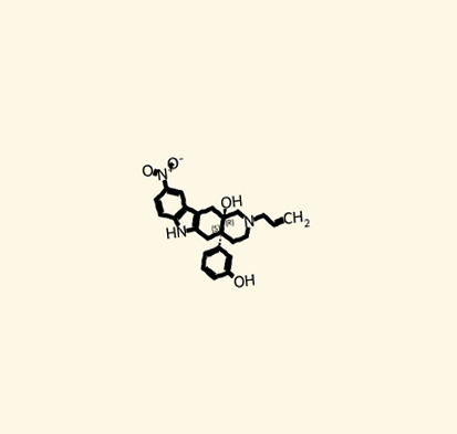 C=CCN1CC[C@@]2(c3cccc(O)c3)Cc3[nH]c4ccc([N+](=O)[O-])cc4c3C[C@]2(O)C1